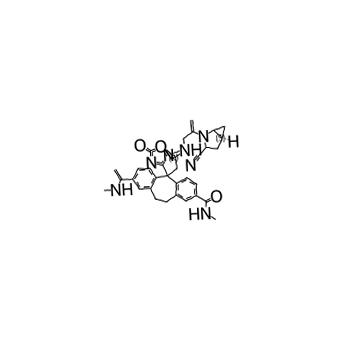 C=C(NC)c1ccc2c(c1)CCc1cc(C(=O)NC)ccc1C2(C[C@@H](C)NCC(=C)N1C(C#N)C[C@@H]2CC21)c1nc(=O)on1C